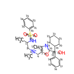 CC(C[N+](C)(C)Cc1cnc([C@](O)(c2ccccc2)C2CCCCC2)o1)NS(=O)(=O)c1ccccc1